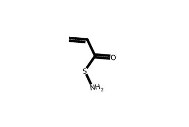 C=CC(=O)SN